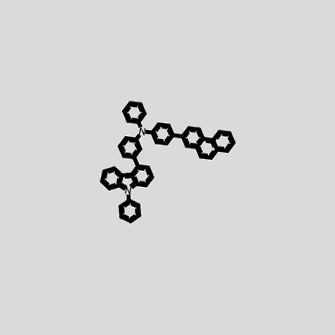 c1ccc(N(c2ccc(-c3ccc4c(ccc5ccccc54)c3)cc2)c2cccc(-c3cccc4c3c3ccccc3n4-c3ccccc3)c2)cc1